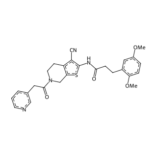 COc1ccc(OC)c(CCC(=O)Nc2sc3c(c2C#N)CCN(C(=O)Cc2cccnc2)C3)c1